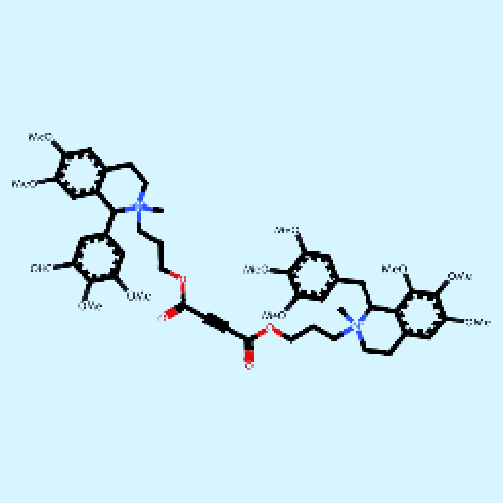 COc1cc2c(cc1OC)C(c1cc(C=O)c(OC)c(OC)c1)[N+](C)(CCCOC(=O)C#CC(=O)OCCC[N+]1(C)CCc3cc(OC)c(OC)c(OC)c3C1Cc1cc(OC)c(OC)c(OC)c1)CC2